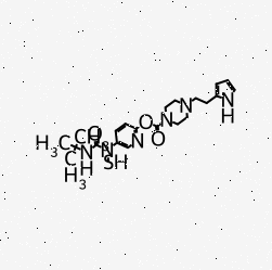 CC(C)(C)NC(=O)N(S)c1ccc(OC(=O)N2CCN(CCc3ccc[nH]3)CC2)nc1